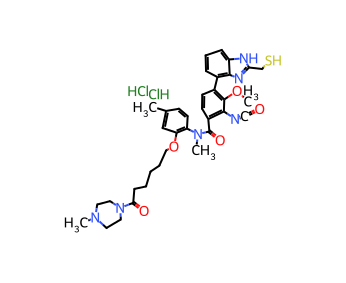 COc1c(-c2cccc3[nH]c(CS)nc23)ccc(C(=O)N(C)c2ccc(C)cc2OCCCCCC(=O)N2CCN(C)CC2)c1N=C=O.Cl.Cl